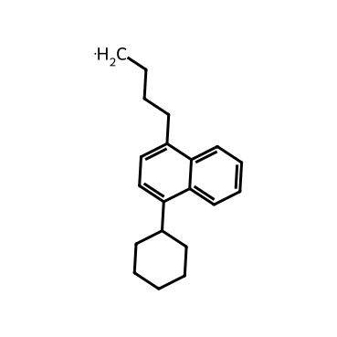 [CH2]CCCc1ccc(C2CCCCC2)c2ccccc12